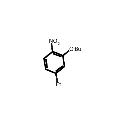 CCc1ccc([N+](=O)[O-])c(OCC(C)C)c1